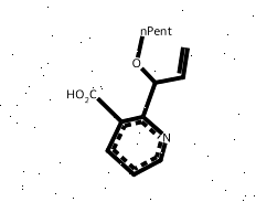 C=CC(OCCCCC)c1ncccc1C(=O)O